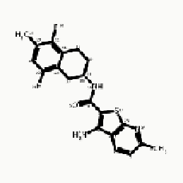 Cc1ccc2c(N)c(C(=O)N[C@@H]3CCc4c(F)c(C)cc(F)c4C3)sc2n1